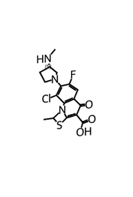 CN[C@H]1CCN(c2c(F)cc3c(=O)c(C(=O)O)c4n(c3c2Cl)C(C)S4)C1